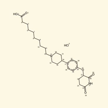 Cl.O=C(O)CCCCCCCCCN1CCC(c2ccc(OC3CCC(=O)NC3=O)cc2)CC1